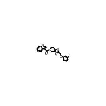 O=C(c1cnn2ccccc12)N1CCc2nc(COc3cccc(F)c3)oc2C1